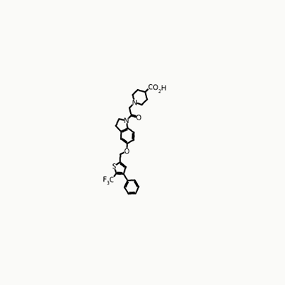 O=C(O)C1CCN(CC(=O)N2CCc3cc(OCc4cc(-c5ccccc5)c(C(F)(F)F)s4)ccc32)CC1